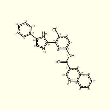 O=C(Nc1ccc(Cl)c(-c2ncc(-c3ccccc3)[nH]2)c1)c1cnc2ccccc2c1